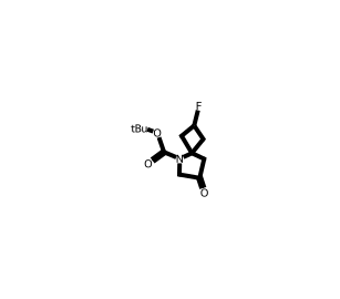 CC(C)(C)OC(=O)N1CC(=O)CC12CC(F)C2